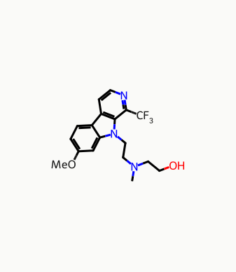 COc1ccc2c3ccnc(C(F)(F)F)c3n(CCN(C)CCO)c2c1